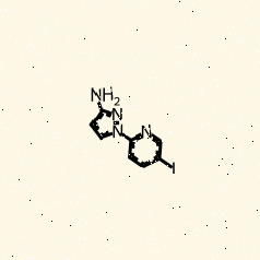 Nc1ccn(-c2ccc(I)cn2)n1